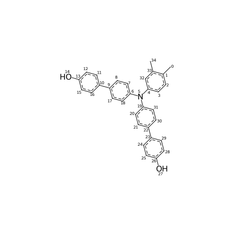 Cc1ccc(N(c2ccc(-c3ccc(O)cc3)cc2)c2ccc(-c3ccc(O)cc3)cc2)cc1C